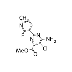 COC(=O)c1nc(-c2ccc(C)nc2F)nc(N)c1Cl